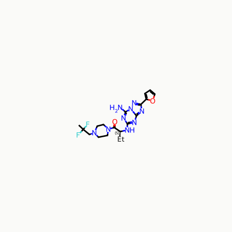 CC[C@H](Nc1nc(N)n2nc(-c3ccco3)nc2n1)C(=O)N1CCN(CC(C)(F)F)CC1